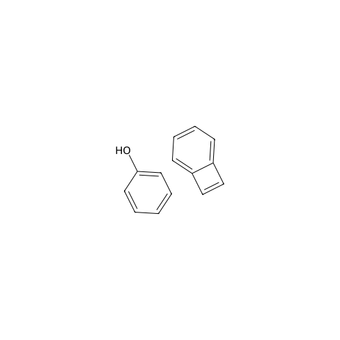 C1=Cc2ccccc21.Oc1ccccc1